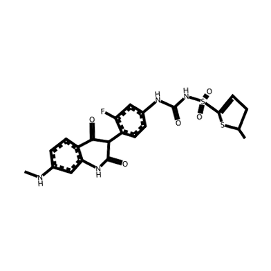 CNc1ccc2c(c1)NC(=O)C(c1ccc(NC(=O)NS(=O)(=O)C3=CCC(C)S3)cc1F)C2=O